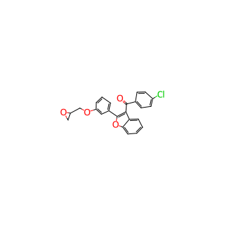 O=C(c1ccc(Cl)cc1)c1c(-c2cccc(OCC3CO3)c2)oc2ccccc12